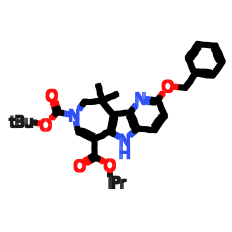 CC(C)OC(=O)C1=CN(C(=O)OC(C)(C)C)CC(C)(C)c2c1[nH]c1ccc(OCc3ccccc3)nc21